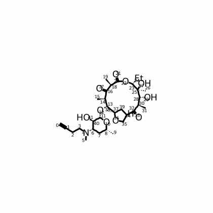 C#CCCN(C)[C@H]1C[C@@H](C)O[C@@H](O[C@@H]2[C@@H](C)C(=O)[C@@H](C)C(=O)O[C@H](CC)[C@@](C)(O)[C@H](O)[C@@H](C)C(=O)[C@@H]3CO[C@]2(C)C3)[C@@H]1O